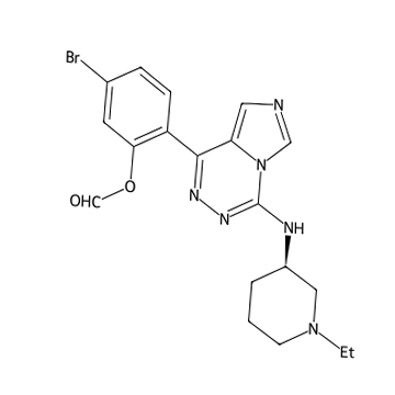 CCN1CCC[C@@H](Nc2nnc(-c3ccc(Br)cc3OC=O)c3cncn23)C1